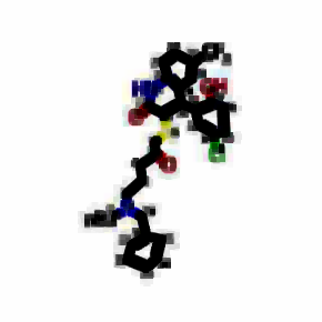 CCCCN(CCCC(=O)CSc1c(-c2cc(Cl)ccc2O)c2cc(C(F)(F)F)ccc2[nH]c1=O)Cc1ccccc1